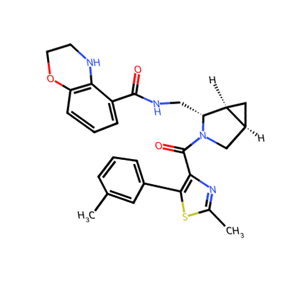 Cc1cccc(-c2sc(C)nc2C(=O)N2C[C@@H]3C[C@@H]3[C@H]2CNC(=O)c2cccc3c2NCCO3)c1